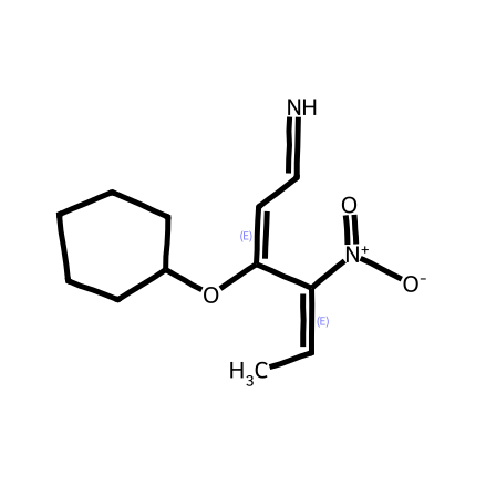 C/C=C(\C(=C/C=N)OC1CCCCC1)[N+](=O)[O-]